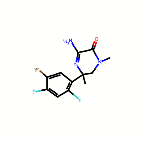 CN1CC(C)(c2cc(Br)c(F)cc2F)N=C(N)C1=O